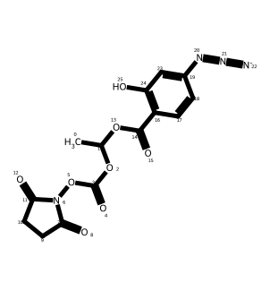 CC(OC(=O)ON1C(=O)CCC1=O)OC(=O)c1ccc(N=[N+]=[N-])cc1O